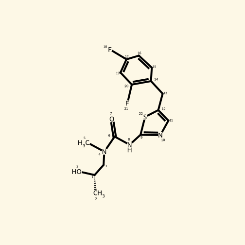 C[C@H](O)CN(C)C(=O)Nc1ncc(Cc2ccc(F)cc2F)s1